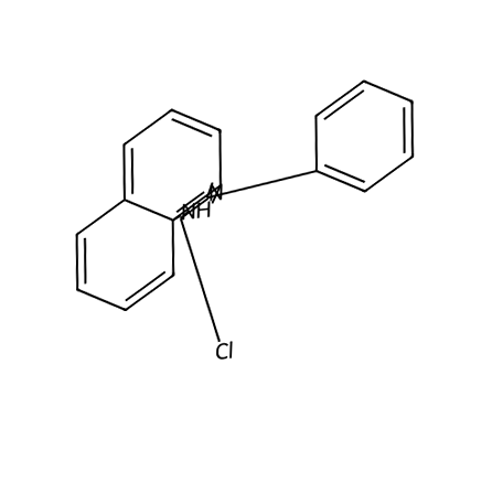 ClC1=NC(c2ccccc2)=C2C=CC=C3C=CC=CC32N1